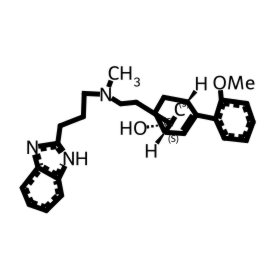 COc1ccccc1C1=C[C@@H]2CC[C@H]1C[C@]2(O)CCN(C)CCCc1nc2ccccc2[nH]1